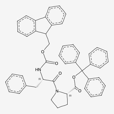 O=C(N[C@@H](Cc1ccccc1)C(=O)N1CCC[C@H]1C(=O)OC(c1ccccc1)(c1ccccc1)c1ccccc1)OCC1c2ccccc2-c2ccccc21